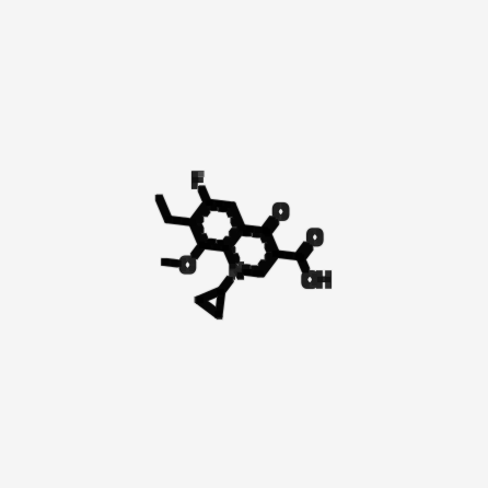 CCc1c(F)cc2c(=O)c(C(=O)O)cn(C3CC3)c2c1OC